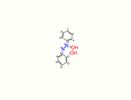 OO.c1ccc(N=Nc2ccccc2)cc1